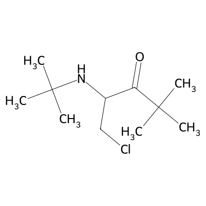 CC(C)(C)NC(CCl)C(=O)C(C)(C)C